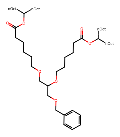 CCCCCCCCC(CCCCCCCC)OC(=O)CCCCCOCC(COCc1ccccc1)OCCCCCC(=O)OC(CCCCCCCC)CCCCCCCC